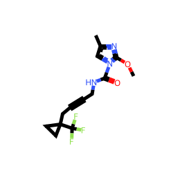 COc1nc(C)cn1C(=O)NCC#CCC1(C(F)(F)F)CC1